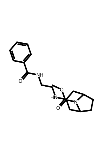 COC(=O)N1C2CCC1CC(NCCNC(=O)c1ccccc1)C2